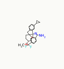 COC1CCC2(CC1)Cc1ccc(C3CC3)cc1C21N=C(N)c2ccc(C(F)(F)F)cc21